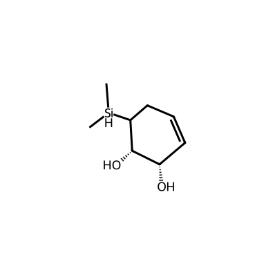 C[SiH](C)C1CC=C[C@H](O)[C@@H]1O